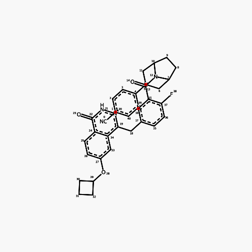 N#Cc1ccc(N2CC3CCC(C2)N3C(=O)c2cc(Cc3n[nH]c(=O)c4ccc(OC5CCC5)cc34)ccc2F)nc1